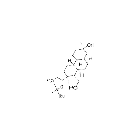 CC(C)(C)[Si](C)(C)OC(CO)[C@@]1(C)CC[C@H]2[C@@H](CC[C@@H]3C[C@](C)(O)CC[C@@H]32)[C@@H]1CO